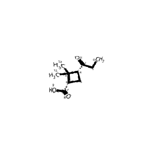 CCC(=O)[C@@H]1C[C@H](C(=O)O)C1(C)C